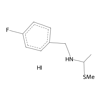 CSC(C)NCc1ccc(F)cc1.I